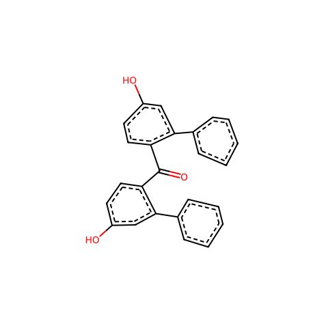 O=C(c1ccc(O)cc1-c1ccccc1)c1ccc(O)cc1-c1ccccc1